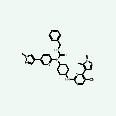 Cc1c(-c2nc(NC3CCC(N(C(=O)NCc4ccccc4)c4ccc(-c5cnn(C)c5)cn4)CC3)ncc2C#N)cnn1C